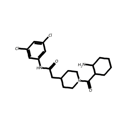 NC1CCCCC1C(=O)N1CCC(CC(=O)Nc2cc(Cl)cc(Cl)c2)CC1